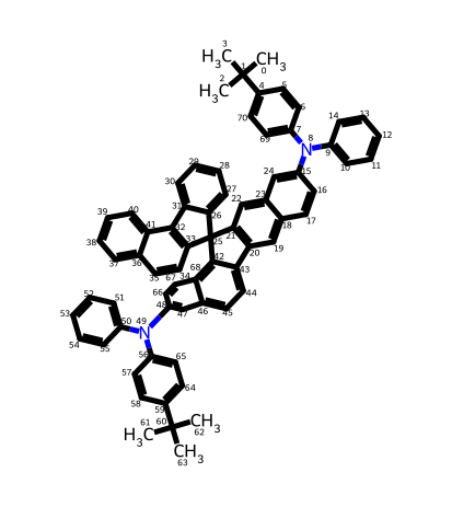 CC(C)(C)c1ccc(N(c2ccccc2)c2ccc3cc4c(cc3c2)C2(c3ccccc3-c3c2ccc2ccccc32)c2c-4ccc3cc(N(c4ccccc4)c4ccc(C(C)(C)C)cc4)ccc23)cc1